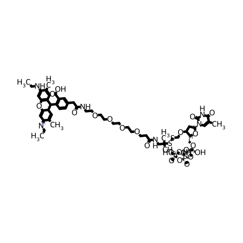 CC/N=C1/C=C2Oc3cc(NCC)c(C)cc3C(c3ccc(CC(=O)NCCOCCOCCOCCOCCC(=O)NCC(C)(C)SSCOC4C[C@H](n5cc(C)c(=O)[nH]c5=O)O[C@@H]4COP(=O)(O)OP(=O)(O)OP(=O)(O)O)cc3C(=O)O)C2C=C1C